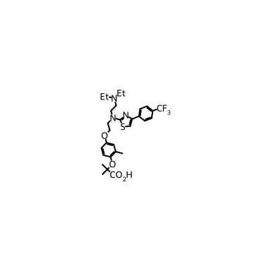 CCN(CC)CCN(CCOc1ccc(OC(C)(C)C(=O)O)c(C)c1)c1nc(-c2ccc(C(F)(F)F)cc2)cs1